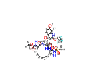 COc1ccc2c(O[C@@H]3C[C@H]4C(=O)N[C@]5(C(=O)NS(=O)(=O)C6CC6)CC5/C=C\CCCCC[C@H](NC(=O)OC(C)(C)C)C(=O)N4C3)cc(OCC(F)(F)F)nc2c1C